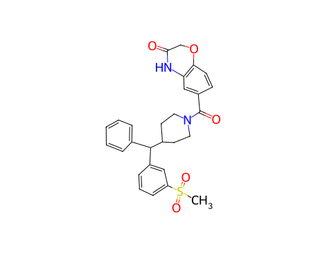 CS(=O)(=O)c1cccc(C(c2ccccc2)C2CCN(C(=O)c3ccc4c(c3)NC(=O)CO4)CC2)c1